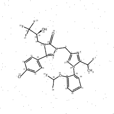 CC(F)c1nc(Cn2nc(-c3ccc(Cl)cc3)n(C[C@H](O)C(F)(F)F)c2=O)nn1-c1ccccc1OC(F)F